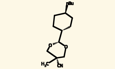 CCCC[C@H]1CC[C@H]([C@H]2OC[C@@](C)(C#N)CO2)CC1